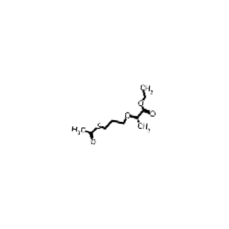 CCOC(=O)[C@@H](C)OCCCSC(C)=O